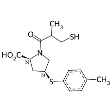 Cc1ccc(S[C@H]2C[C@@H](C(=O)O)N(C(=O)C(C)CS)C2)cc1